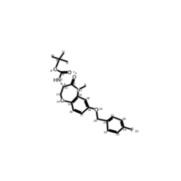 CN1C(=O)[C@@H](NC(=O)OC(C)(C)C)COc2ccc(OCc3ccc(F)cc3)cc21